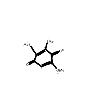 COC1=CC(=O)C(SC)=C(SC)C1=O